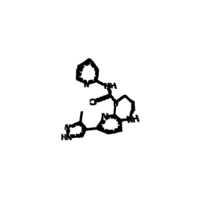 Cc1n[nH]cc1-c1ccc2c(n1)N(C(=O)Nc1ccccn1)CCCN2